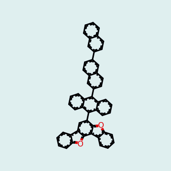 c1ccc2cc(-c3ccc4cc(-c5c6ccccc6c(-c6cc7c8ccccc8oc7c7c6oc6ccccc67)c6ccccc56)ccc4c3)ccc2c1